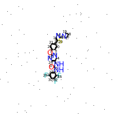 O=C(Nc1cnc(Oc2ccc(-c3cnc(N4CCC4)s3)cc2)nc1)Nc1cc(F)cc(F)c1F